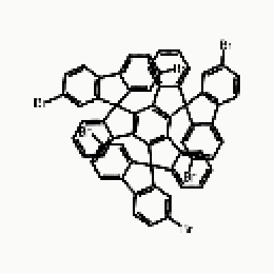 Brc1ccc2c(c1)C1(c3cc(Br)ccc3-2)c2ccccc2-c2c1c1c(c3c2C2(c4cc(Br)ccc4-c4ccc(Br)cc42)c2ccccc2-3)C2(c3cc(Br)ccc3-c3ccc(Br)cc32)c2ccccc2-1